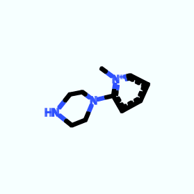 C[n+]1ccccc1N1CCNCC1